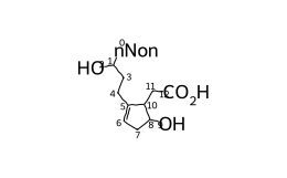 CCCCCCCCCC(O)CCC1=CCC(O)C1CC(=O)O